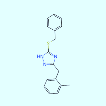 Cc1ccccc1Cc1n[nH]c(SCc2ccccc2)n1